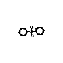 [CH2][Si](CC)(c1ccccc1)c1ccccc1